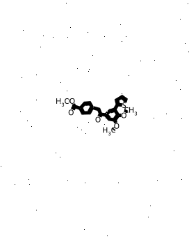 COC(=O)c1ccc(CC(=O)c2cc(OC)c(OC)c(-c3cccs3)c2)cc1